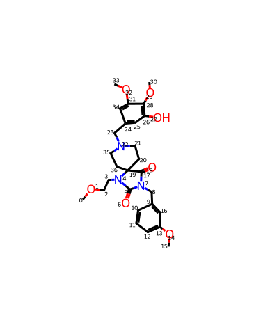 COCCN1C(=O)N(Cc2cccc(OC)c2)C(=O)C12CCN(Cc1cc(O)c(OC)c(OC)c1)CC2